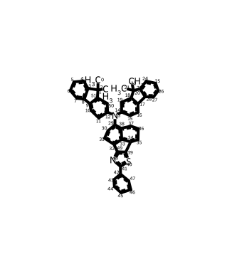 CC1(C)c2ccccc2-c2ccc(N(c3ccc4c(c3)C(C)(C)c3ccccc3-4)c3ccc4c5c(cccc35)-c3sc(-c5ccccc5)nc3-4)cc21